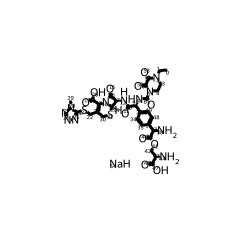 CCN1CCN(C(=O)N[C@H](C(=O)N[C@@H]2C(=O)N3C(C(=O)O)=C(CSc4nnnn4C)CS[C@H]23)c2ccc(C(N)C(=O)OC[C@@H](N)C(=O)O)cc2)C(=O)C1=O.[NaH]